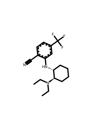 CCN(CC)[C@@H]1CCCC[C@H]1Nc1cc(C(F)(F)F)ccc1C#N